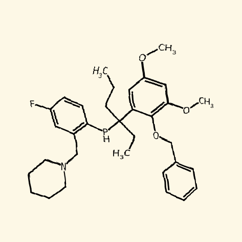 CCCC(CC)(Pc1ccc(F)cc1CN1CCCCC1)c1cc(OC)cc(OC)c1OCc1ccccc1